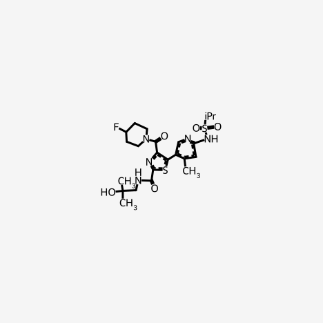 Cc1cc(NS(=O)(=O)C(C)C)ncc1-c1sc(C(=O)NCC(C)(C)O)nc1C(=O)N1CCC(F)CC1